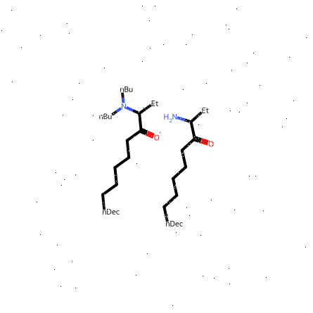 CCCCCCCCCCCCCCCC(=O)C(CC)N(CCCC)CCCC.CCCCCCCCCCCCCCCC(=O)C(N)CC